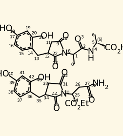 CC(C(=O)N[C@@H](C)C(=O)O)N1C(=O)CC(Cc2ccc(O)cc2O)C1=O.CCOC(=O)C(CC(N)=O)N1C(=O)CC(Cc2ccc(O)cc2O)C1=O